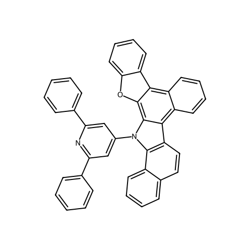 c1ccc(-c2cc(-n3c4c5ccccc5ccc4c4c5ccccc5c5c6ccccc6oc5c43)cc(-c3ccccc3)n2)cc1